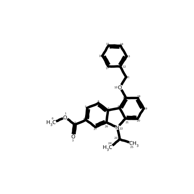 COC(=O)c1ccc2c3c(OCc4ccccc4)cccc3n(C(C)C)c2c1